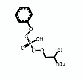 CCCCC(CC)COOP(=O)(O)OOc1ccccc1